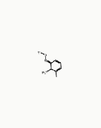 CCON=C1C=CC=C(C)C1N